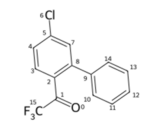 O=C(c1ccc(Cl)cc1-c1ccccc1)C(F)(F)F